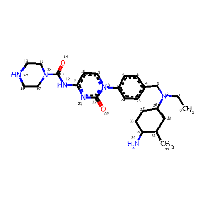 CCN(Cc1ccc(-n2ccc(NC(=O)N3CCNCC3)nc2=O)cc1)C1CCC(N)C(C)C1